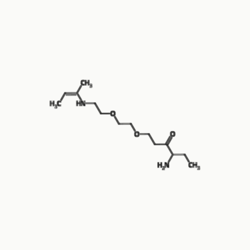 CC=C(C)NCCOCCOCCC(=O)C(N)CC